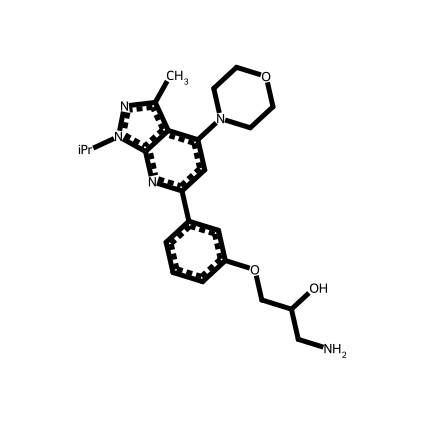 Cc1nn(C(C)C)c2nc(-c3cccc(OCC(O)CN)c3)cc(N3CCOCC3)c12